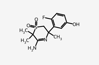 CC1(c2cc(O)ccc2F)CS(=O)(=O)C(C)(C)C(N)=N1